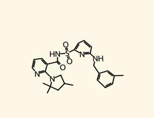 Cc1cccc(CNc2cccc(S(=O)(=O)NC(=O)c3cccnc3N3CC(C)CC3(C)C)n2)c1